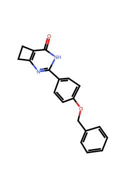 O=c1[nH]c(-c2ccc(OCc3ccccc3)cc2)nc2c1CC2